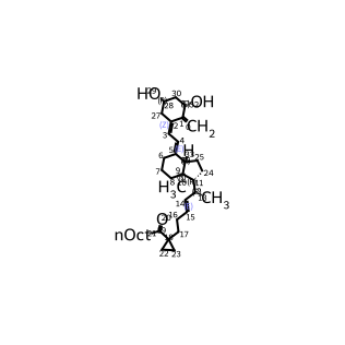 C=C1/C(=C\C=C2/CCC[C@]3(C)[C@@H]([C@H](C)/C=C/CCC4(C(=O)CCCCCCCC)CC4)CC[C@@H]23)C[C@@H](O)C[C@@H]1O